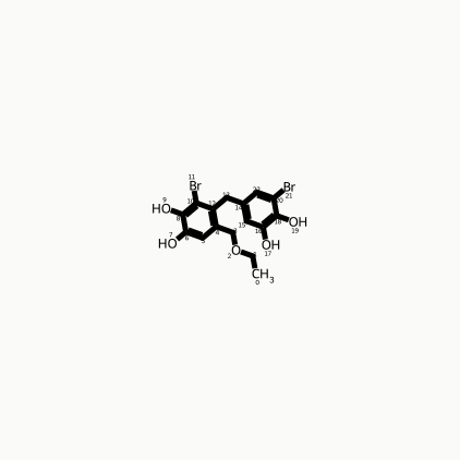 CCOCc1cc(O)c(O)c(Br)c1Cc1cc(O)c(O)c(Br)c1